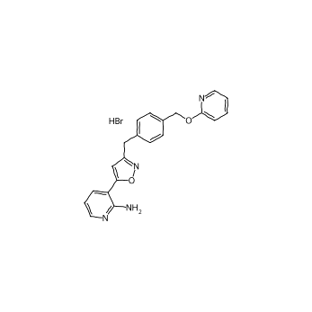 Br.Nc1ncccc1-c1cc(Cc2ccc(COc3ccccn3)cc2)no1